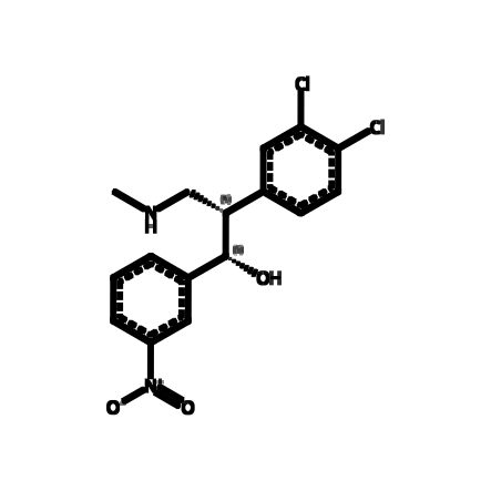 CNC[C@H](c1ccc(Cl)c(Cl)c1)[C@H](O)c1cccc([N+](=O)[O-])c1